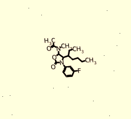 CCCCC(CC)C1C(N(C)C(C)=O)OC(=O)N1c1cccc(F)c1